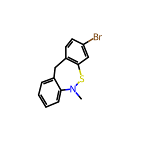 CN1Sc2cc(Br)ccc2Cc2ccccc21